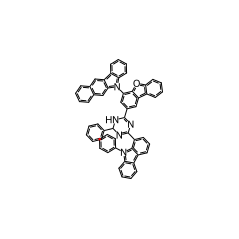 c1ccc(C2N=C(c3cccc4c5ccccc5n(-c5ccccc5)c34)N=C(c3cc(-n4c5ccccc5c5cc6ccccc6cc54)c4oc5ccccc5c4c3)N2)cc1